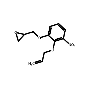 C=CCOc1c(OCC2CO2)cccc1[N+](=O)[O-]